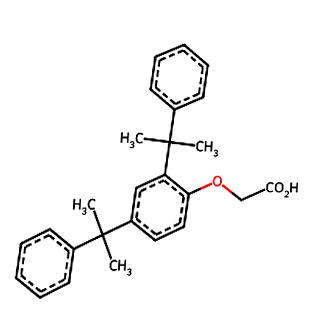 CC(C)(c1ccccc1)c1ccc(OCC(=O)O)c(C(C)(C)c2ccccc2)c1